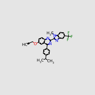 C#CCOc1ccc2nc(-c3nc4cc(C(F)(F)F)ccc4n3C)nc(-c3ccc(C(C)C)cc3)c2c1